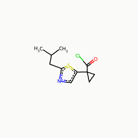 CC(C)Cc1ncc(C2(C(=O)Cl)CC2)s1